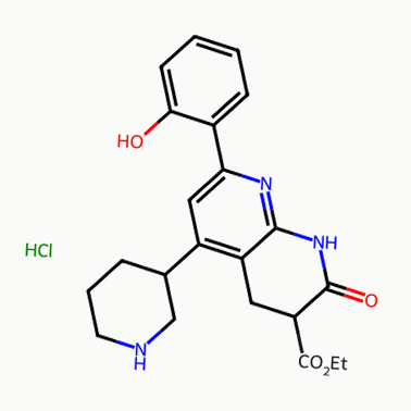 CCOC(=O)C1Cc2c(C3CCCNC3)cc(-c3ccccc3O)nc2NC1=O.Cl